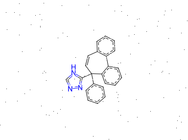 C1=CC(c2ccccc2)(c2nnc[nH]2)c2ccccc2-c2ccccc21